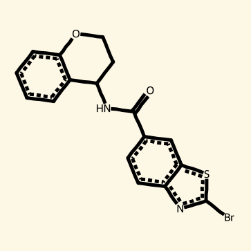 O=C(NC1CCOc2ccccc21)c1ccc2nc(Br)sc2c1